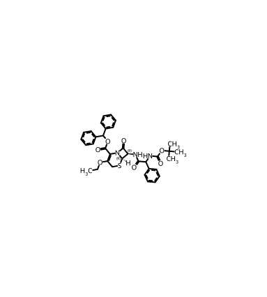 CCOC1=C(C(=O)OC(c2ccccc2)c2ccccc2)N2C(=O)[C@@H](NC(=O)C(NC(=O)OC(C)(C)C)c3ccccc3)[C@H]2SC1